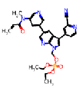 C=CC(=O)N(C)c1cncc(-c2cnc3c(c2)c(-c2ccnc(C#N)c2)cn3COP(=O)(OCC)OCC)c1